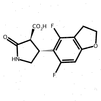 O=C(O)[C@@H]1C(=O)NC[C@H]1c1c(F)cc2c(c1F)CCO2